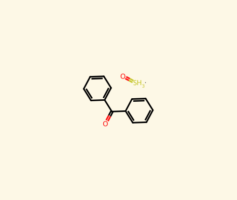 O=C(c1ccccc1)c1ccccc1.O=[SH3]